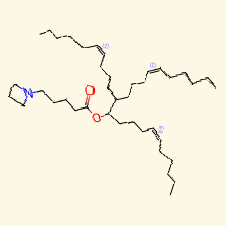 CCCCC/C=C\CCCC(CCC/C=C\CCCCC)C(CCC/C=C\CCCCC)OC(=O)CCCCN1CCC1